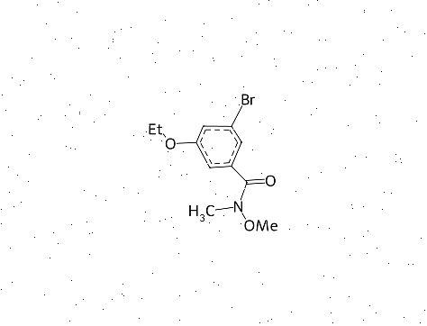 CCOc1cc(Br)cc(C(=O)N(C)OC)c1